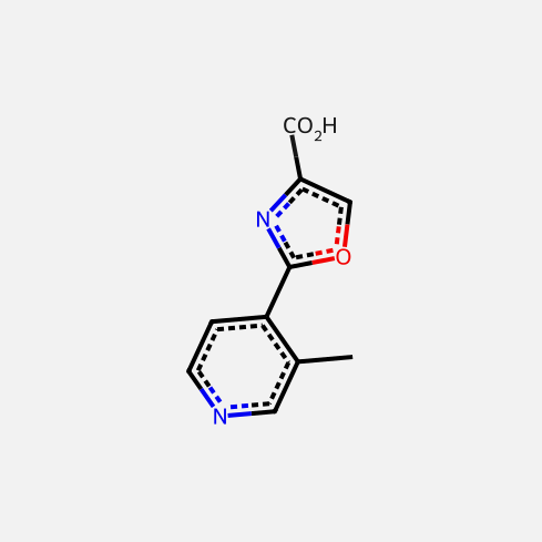 Cc1cnccc1-c1nc(C(=O)O)co1